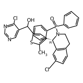 Cc1sc(C(O)c2cncnc2Cl)cc1[C@H]1c2cc(Cl)ccc2CCN1P(=O)(c1ccccc1)c1ccccc1